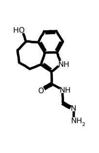 NN=CNC(=O)c1[nH]c2cccc3c2c1CCCC3O